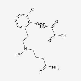 CCCN(CCCC(N)=O)CCc1cccc(Cl)c1OC.O=C(O)C(=O)O